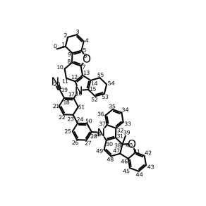 CC1CC=Cc2oc3c(c21)CCc1c-3c2c(n1C1=C(C#N)C=CC(c3cccc(-n4c5c(c6ccccc64)C4(C)Oc6ccccc6C4C=C5)c3)C1)C=CCC2